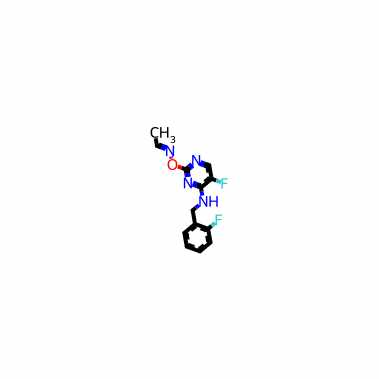 CC=NOc1ncc(F)c(NCc2ccccc2F)n1